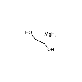 OCCO.[MgH2]